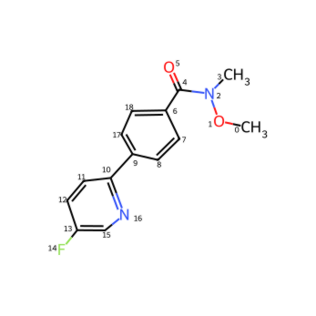 CON(C)C(=O)c1ccc(-c2ccc(F)cn2)cc1